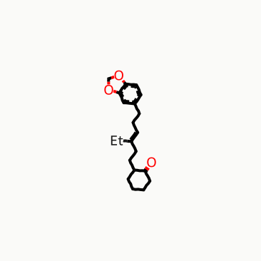 CC/C(=C\CCc1ccc2c(c1)OCO2)CCC1CCCCC1=O